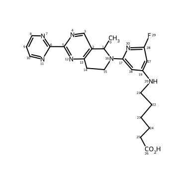 CC1c2cnc(-c3ncccn3)nc2CCN1c1cc(NCCCCCC(=O)O)cc(F)n1